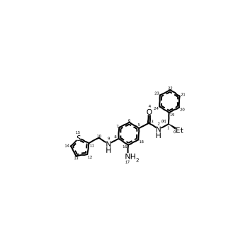 CC[C@@H](NC(=O)c1ccc(NCc2cccs2)c(N)c1)c1ccccc1